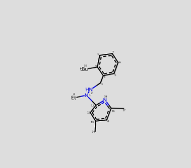 CCN(NCc1ccccc1C(C)(C)C)c1cc(C)cc(C)n1